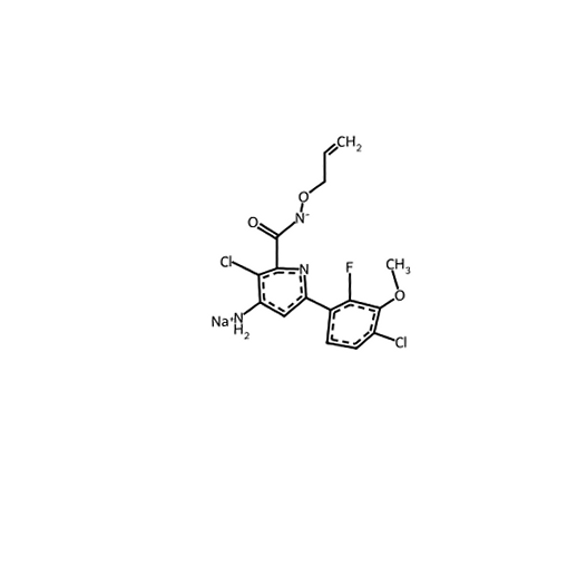 C=CCO[N-]C(=O)c1nc(-c2ccc(Cl)c(OC)c2F)cc(N)c1Cl.[Na+]